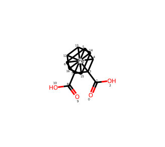 O=C(O)[C]12[CH]3[CH]4[CH]5[C]1(C(=O)O)[Fe]43521678[CH]2[CH]1[CH]6[CH]7[CH]28